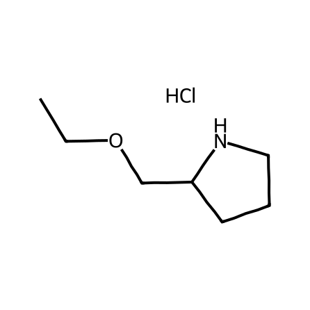 CCOCC1CCCN1.Cl